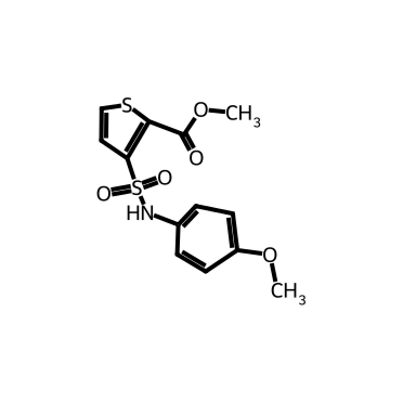 COC(=O)c1sccc1S(=O)(=O)Nc1ccc(OC)cc1